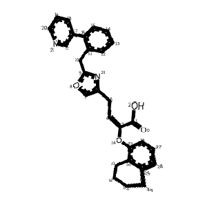 O=C(O)C(=CCc1coc(Cc2ccccc2-c2cccnc2)n1)Oc1cccc2c1CCCC2